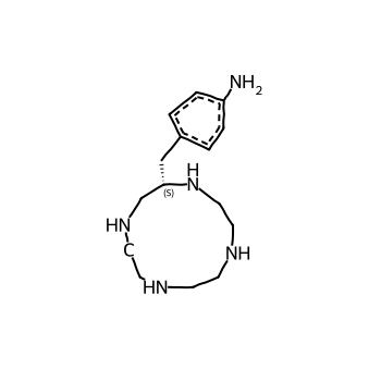 Nc1ccc(C[C@H]2CNCCNCCNCCN2)cc1